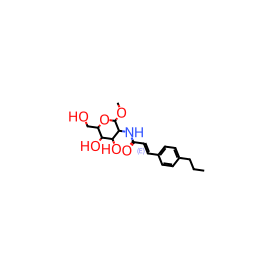 CCCc1ccc(/C=C/C(=O)NC2C(OC)OC(CO)C(O)C2O)cc1